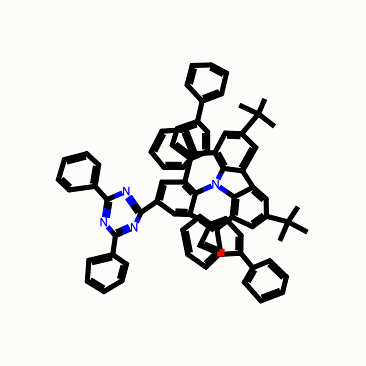 CC(C)(C)c1cc(-c2ccccc2)c2c(c1)c1cc(C(C)(C)C)cc(-c3ccccc3)c1n2-c1c(-c2ccc(-c3ccccc3)cc2)cc(-c2nc(-c3ccccc3)nc(-c3ccccc3)n2)cc1-c1ccc(-c2ccccc2)cc1